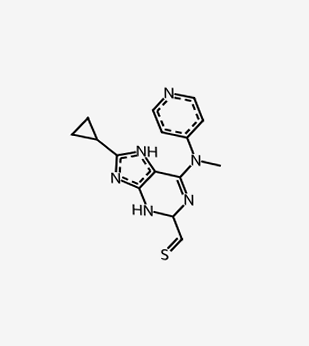 CN(C1=NC(C=S)Nc2nc(C3CC3)[nH]c21)c1ccncc1